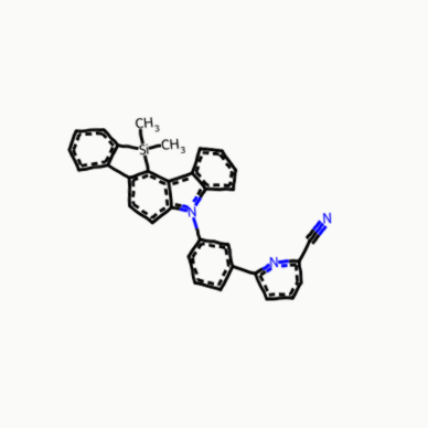 C[Si]1(C)c2ccccc2-c2ccc3c(c21)c1ccccc1n3-c1cccc(-c2cccc(C#N)n2)c1